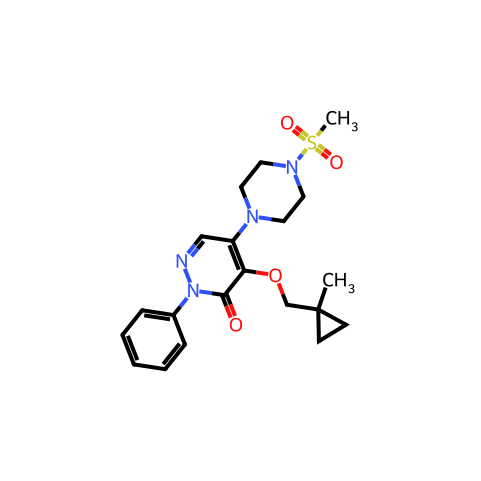 CC1(COc2c(N3CCN(S(C)(=O)=O)CC3)cnn(-c3ccccc3)c2=O)CC1